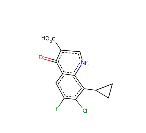 O=C(O)c1c[nH]c2c(C3CC3)c(Cl)c(F)cc2c1=O